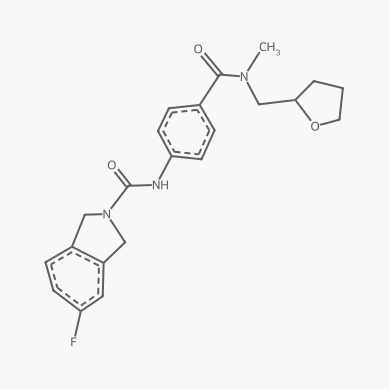 CN(CC1CCCO1)C(=O)c1ccc(NC(=O)N2Cc3ccc(F)cc3C2)cc1